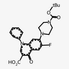 CC(C)(C)OC(=O)N1CCN(c2cc3c(cc2F)c(=O)c(C(=O)O)cn3-c2ccccc2)CC1